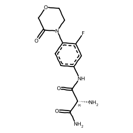 NC(=O)[C@@H](N)C(=O)Nc1ccc(N2CCOCC2=O)c(F)c1